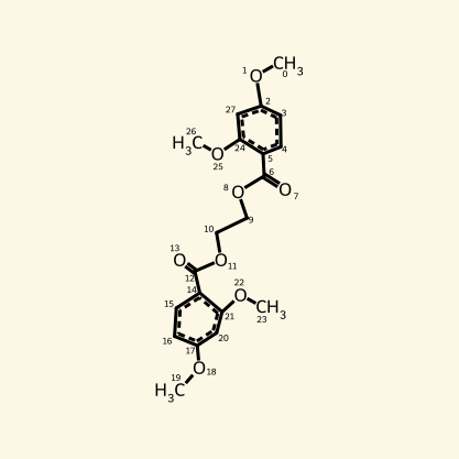 COc1ccc(C(=O)OCCOC(=O)c2ccc(OC)cc2OC)c(OC)c1